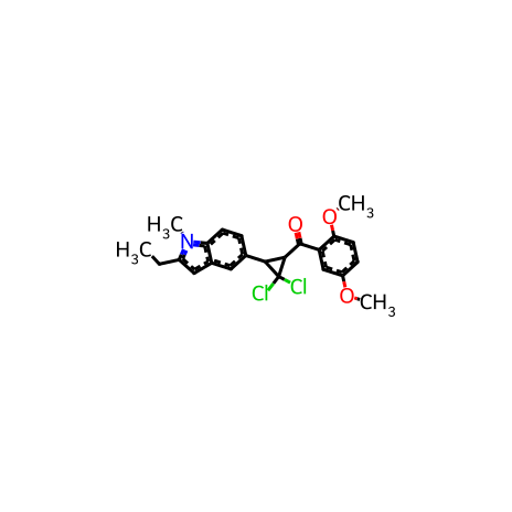 CCc1cc2cc(C3C(C(=O)c4cc(OC)ccc4OC)C3(Cl)Cl)ccc2n1C